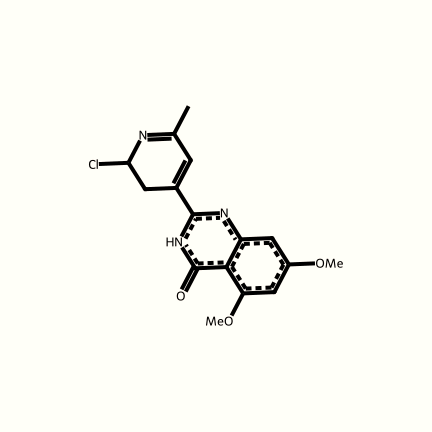 COc1cc(OC)c2c(=O)[nH]c(C3=CC(C)=NC(Cl)C3)nc2c1